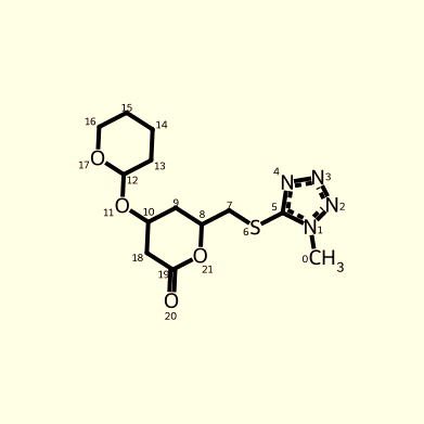 Cn1nnnc1SCC1CC(OC2CCCCO2)CC(=O)O1